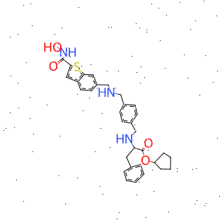 O=C(NO)c1cc2ccc(CNCc3ccc(CNC(Cc4ccccc4)C(=O)OC4CCCC4)cc3)cc2s1